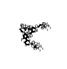 CC1CN(c2cc(F)c(C3=CCCN(C(=O)OC(C)(C)C)C3)c(F)c2NC(=O)c2cnc(OCC[Si](C)(C)C)cc2C(F)(F)F)CCN1C